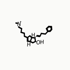 CN(C)CCCCCC1=C[C@H]2C[C@@H](O)[C@H](/C=C/CCc3ccccc3)[C@H]2C1